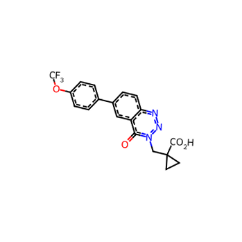 O=C(O)C1(Cn2nnc3ccc(-c4ccc(OC(F)(F)F)cc4)cc3c2=O)CC1